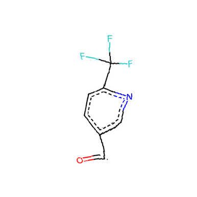 O=[C]c1ccc(C(F)(F)F)nc1